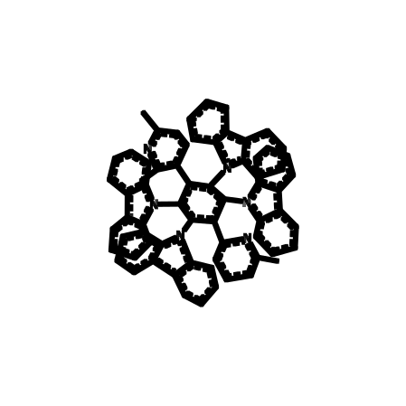 Cc1cccc(-c2c(-n3c4ccccc4c4ccccc43)c(-n3c4ccccc4c4ccccc43)c(-c3ccc(C)nc3C)c(-n3c4ccccc4c4ccccc43)c2-n2c3ccccc3c3ccccc32)n1